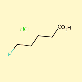 Cl.O=C(O)CCCCF